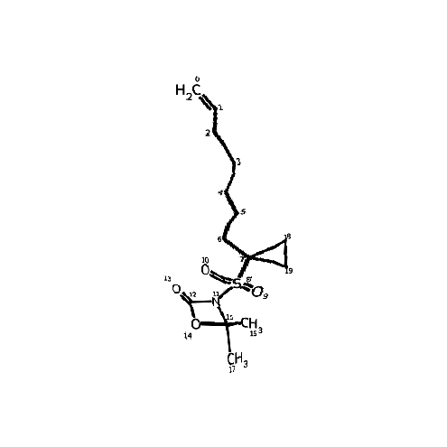 C=CCCCCCC1(S(=O)(=O)N2C(=O)OC2(C)C)CC1